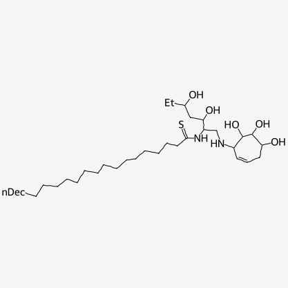 CCCCCCCCCCCCCCCCCCCCCCCCCC(=S)NC(CNC1C=CCC(O)C(O)C1O)C(O)CC(O)CC